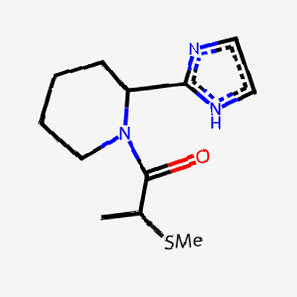 CSC(C)C(=O)N1CCCCC1c1ncc[nH]1